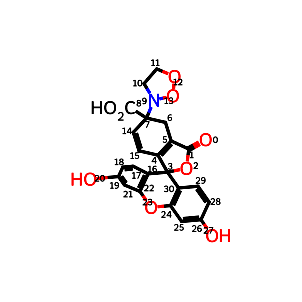 O=C1OC2(C3=C1CC(C(=O)O)(N1CCOO1)C=C3)c1ccc(O)cc1Oc1cc(O)ccc12